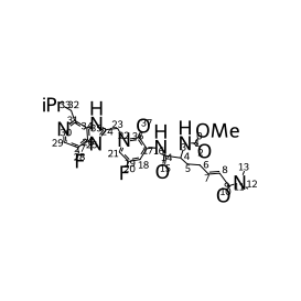 COC(=O)NC(CCC=CC(=O)N(C)C)C(=O)Nc1cc(F)cn(Cc2nc3c(F)cnc(CC(C)C)c3[nH]2)c1=O